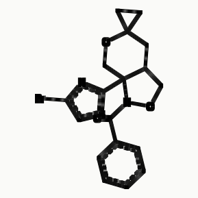 O=C(c1ccccc1)N1OCC2CC3(CC3)OCC21c1nc(Br)cs1